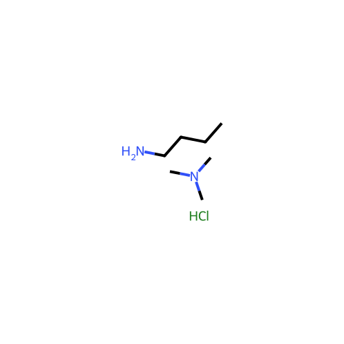 CCCCN.CN(C)C.Cl